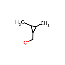 CC1C(C)C1C[O]